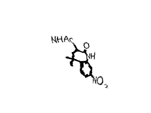 CC(=O)NC1CC(C)(C)c2ccc([N+](=O)[O-])cc2NC1=O